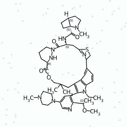 CCn1c(-c2cc(N3CCN(C)CC3)cnc2[C@H](C)OC)c2c3cc(ccc31)C1CSC(=N1)C[C@H](NC(=O)[C@]13CC[C@H]1CCN3C)C(=O)N1CCC[C@](C=O)(COCC(C)(C)C2)N1